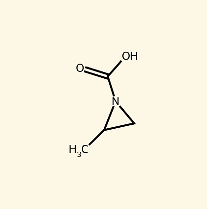 CC1CN1C(=O)O